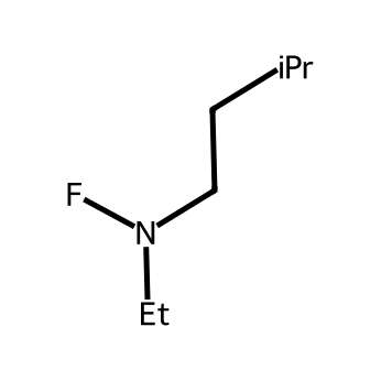 CCN(F)CCC(C)C